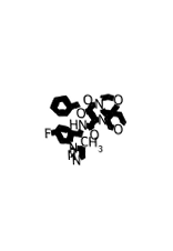 Cc1cnnn1-c1cc(F)ccc1CNC(=O)c1nc2n(c(=O)c1OCc1ccccc1)CCOCC21CCOCC1